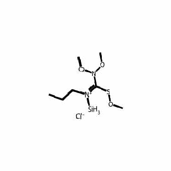 CCC/[N+]([SiH3])=C(/SOC)N(OC)OC.[Cl-]